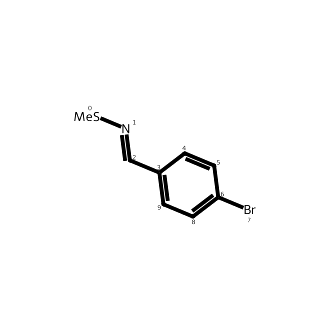 CSN=Cc1ccc(Br)cc1